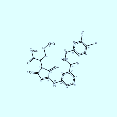 CNC(=O)C(CCC=O)N1C(=O)C=C(Nc2cccc(C(C)NSc3ccc(F)c(F)c3)c2)C1=O